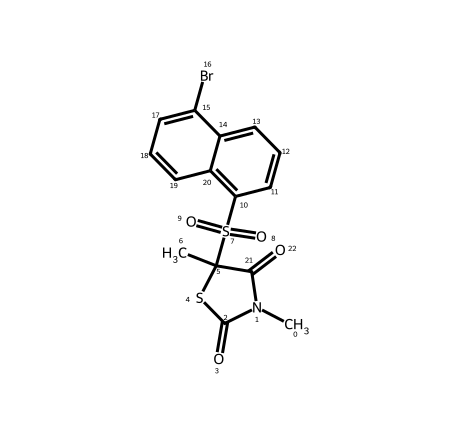 CN1C(=O)SC(C)(S(=O)(=O)c2cccc3c(Br)cccc23)C1=O